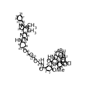 COc1ccc(C(=O)NCCOCCOCCO[C@H]2CC[C@H](Nc3nccc(-c4cnn(Cc5ccccc5)c4N(C)C)n3)CC2)cc1NC(=O)C1N[C@@H](CC(C)(C)C)[C@](C#N)(c2ccc(Cl)cc2F)C1c1cccc(Cl)c1F